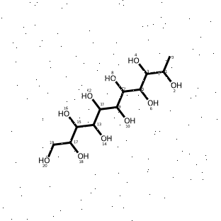 CC(O)C(O)C(O)C(O)C(O)C(O)C(O)C(O)C(O)CO